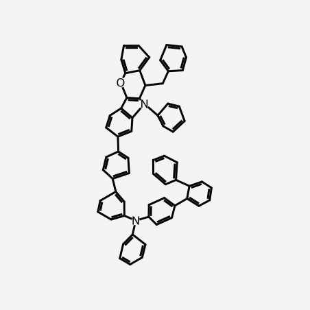 c1ccc(CC2c3ccccc3Oc3c2n(-c2ccccc2)c2cc(-c4ccc(-c5cccc(N(c6ccccc6)c6ccc(-c7ccccc7-c7ccccc7)cc6)c5)cc4)ccc32)cc1